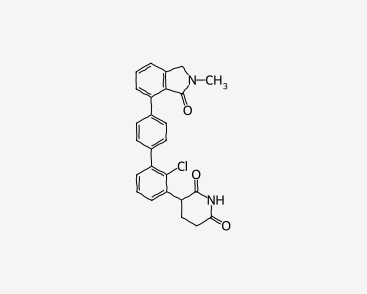 CN1Cc2cccc(-c3ccc(-c4cccc(C5CCC(=O)NC5=O)c4Cl)cc3)c2C1=O